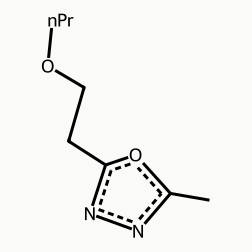 CCCOCCc1nnc(C)o1